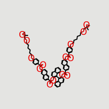 CC1(COCCCCCCOc2ccc(C(=O)Oc3ccc4cc(C(=O)Oc5ccc6ccccc6c5-c5c(OC(=O)c6ccc7cc(OC(=O)c8ccc(OCCCCCCOCC9(C)CO9)cc8)ccc7c6)ccc6ccccc56)ccc4c3)cc2)CO1